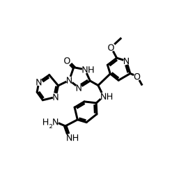 COc1cc(C(Nc2ccc(C(=N)N)cc2)c2nn(-c3cnccn3)c(=O)[nH]2)cc(OC)n1